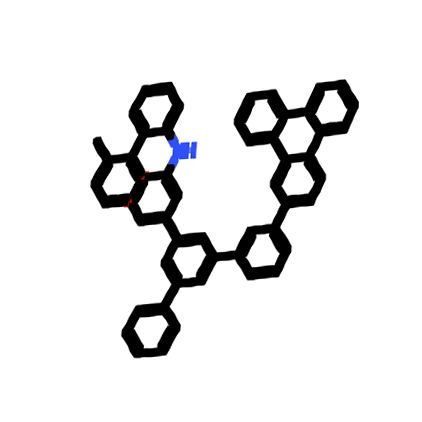 Cc1ccccc1-c1ccccc1Nc1cccc(-c2cc(-c3ccccc3)cc(-c3cccc(-c4ccc5c6ccccc6c6ccccc6c5c4)c3)c2)c1